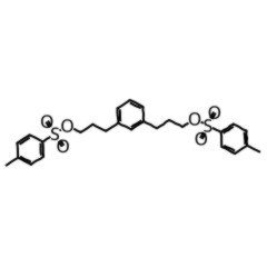 Cc1ccc(S(=O)(=O)OCCCc2cccc(CCCOS(=O)(=O)c3ccc(C)cc3)c2)cc1